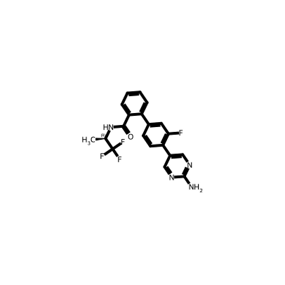 C[C@@H](NC(=O)c1ccccc1-c1ccc(-c2cnc(N)nc2)c(F)c1)C(F)(F)F